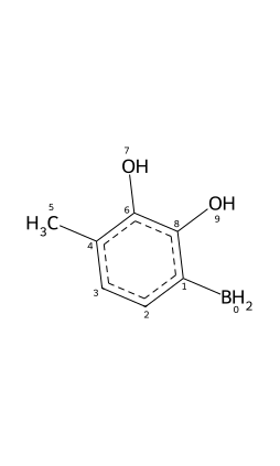 Bc1ccc(C)c(O)c1O